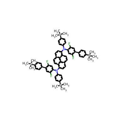 C[Si](C)(C)c1ccc(-c2cc(F)c(N(c3ccc([Si](C)(C)C)cc3)c3ccc4ccc5c(N(c6ccc([Si](C)(C)C)cc6)c6cc(F)c(-c7ccc([Si](C)(C)C)cc7)cc6F)ccc6ccc3c4c65)cc2F)cc1